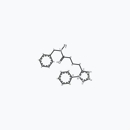 CCN(Cc1ccccc1)C(=O)CCCc1nnnn1-c1ccccc1